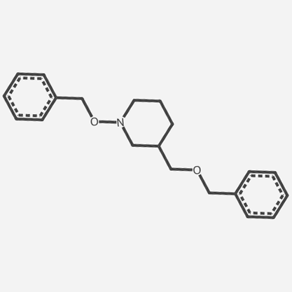 c1ccc(COCC2CCCN(OCc3ccccc3)C2)cc1